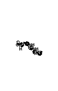 COC(=O)[C@@H]1CN(Cc2ccc(Nc3nccc(Nc4ccnc(-c5cccc(C)n5)n4)n3)cc2)CCN1